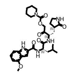 COc1cccc2[nH]c(C(=O)N[C@@H](CC(C)C)C(=O)N[C@@H](C[C@@H]3CCNC3=O)C(=O)COC(=O)N3CCCCC3)cc12